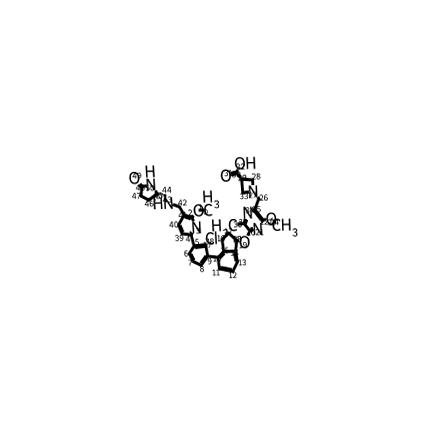 COc1nc(-c2cccc(-c3cccc4c3CC[C@@H]4Oc3nc(OC)c(CN4CC(C(=O)O)C4)nc3C)c2Cl)ccc1CNC[C@@H]1CCC(=O)N1